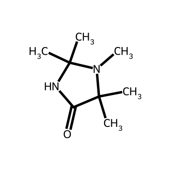 CN1C(C)(C)NC(=O)C1(C)C